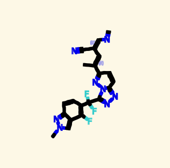 C=N/C=C(C#N)\C=C(/C)c1ccc2nnc(C(F)(F)c3ccc4nn(C)cc4c3F)n2n1